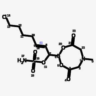 CN1CC(=O)OB(C(/C=C/CCCCCl)OS(N)(=O)=O)OC(=O)C1